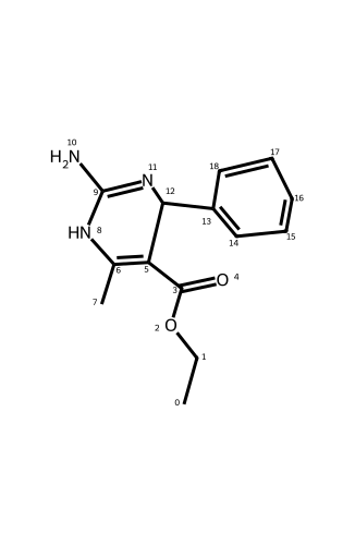 CCOC(=O)C1=C(C)NC(N)=NC1c1ccccc1